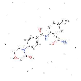 COC1CCC(NC(=O)c2ccc(N3CCOCC3=O)cc2)C(C(N)=O)C1